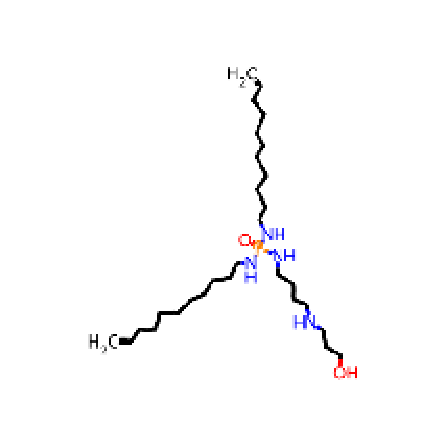 C=CCCCCCCCCCNP(=O)(NCCCCCCCCCC=C)NCCCCNCCCO